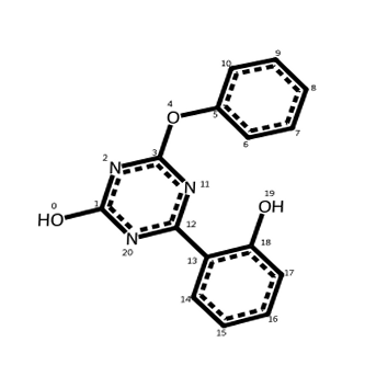 Oc1nc(Oc2ccccc2)nc(-c2ccccc2O)n1